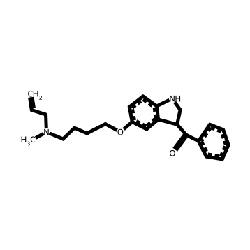 C=CCN(C)CCCCOc1ccc2c(c1)C(C(=O)c1ccccc1)CN2